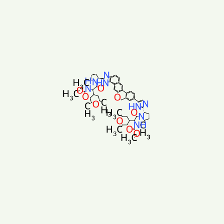 COC(=O)NC(C(=O)N1[C@@H](C)CC[C@H]1c1nc2ccc3cc4c(cc3c2[nH]1)OCc1cc(-c2cnc([C@@H]3CC[C@H](C)N3C(=O)[C@@H](NC(=O)OC)C3C[C@@H](C)O[C@H](C)C3)[nH]2)ccc1-4)C1C[C@@H](C)O[C@H](C)C1